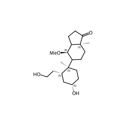 CO[C@H]1C2CCC(=O)[C@@]2(C)CCC1[C@@]1(C)CC[C@H](O)C[C@@H]1CCO